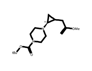 C=C(CC1C[C@@H]1N1CCN(C(=O)OC(C)(C)C)CC1)OC